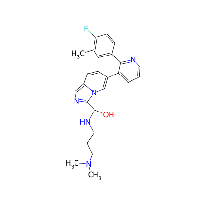 Cc1cc(-c2ncccc2-c2ccc3cnc(C(O)NCCCN(C)C)n3c2)ccc1F